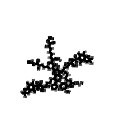 Cc1c(C)c(S(=O)(=O)NC(=N)NCCC[C@H](NC(=O)[C@H](CCCCNC(=O)OC(C)(C)C)NC(=O)[C@@H](N)CCCCNC(=O)OC(C)(C)C)C(=O)N[C@@H](CCCNC(=N)NS(=O)(=O)c2c(C)c(C)c3c(c2C)CC(C)(C)O3)C(=O)N2CCC[C@H]2C(=O)N[C@H](C(=O)N[C@@H](CCCCN)C(=O)O)C(C)C)c(C)c2c1OC(C)(C)C2